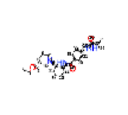 CCOC[C@@H]1CCCN(C[C@H]2CCCC[C@@H]2NC(=O)c2ccc(CNC(=O)C(C)C)cc2)C1